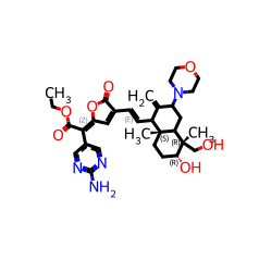 C=C1C(N2CCOCC2)CC2[C@](C)(CC[C@@H](O)[C@@]2(C)CO)C1/C=C/C1=CC(=C(/C(=O)OCC)c2cnc(N)nc2)/OC1=O